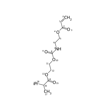 C=CC(=O)OCCNC(=O)OCCOC(=O)C(C)C(C)C